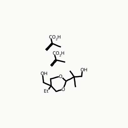 C=C(C)C(=O)O.C=C(C)C(=O)O.CCC1(CO)COC(C(C)(C)CO)OC1